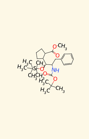 COC(=O)C1CCCC1C(O[Si](C)(C)C(C)(C)C)C(Cc1ccccc1)NC(=O)OC(C)(C)C